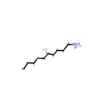 CCCCCCCCCCN.F